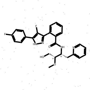 CO[C@H](CO)[C@@H](Cc1ccccn1)NC(=O)c1ccccc1-c1n[nH]c(-c2ccc(F)cc2)c1F